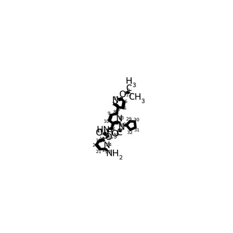 CC(C)Oc1ccc(-c2ccc(C(=O)NS(=O)(=O)c3cccc(N)n3)c(N(C)C3CCCC3)n2)cn1